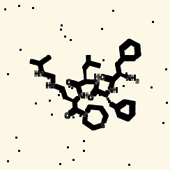 CC(C)C[C@@H](NC(=O)[C@@H](Cc1ccccc1)NC(=O)[C@H](N)Cc1ccccc1)C(=O)N[C@H](CCBCNC(C)C)C(=O)N1CCCSCC1